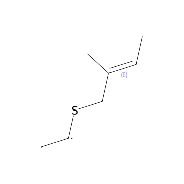 C[CH]SC/C(C)=C/C